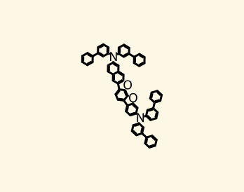 c1ccc(-c2cccc(N(c3cccc(-c4ccccc4)c3)c3ccc4cc5c(cc4c3)oc3c5ccc4c5ccc(N(c6cccc(-c7ccccc7)c6)c6cccc(-c7ccccc7)c6)cc5oc43)c2)cc1